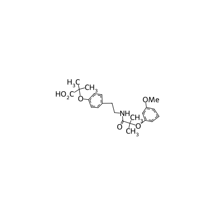 COc1cccc(OC(C)(C)C(=O)NCCc2ccc(OC(C)(C)C(=O)O)cc2)c1